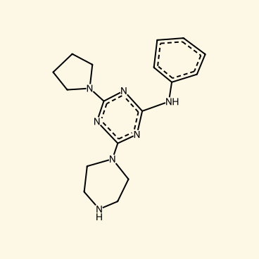 c1ccc(Nc2nc(N3CCCC3)nc(N3CCNCC3)n2)cc1